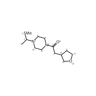 CSC(C)N1CCN(C(=O)CC2CCOC2)CC1